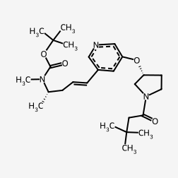 C[C@@H](CC=Cc1cncc(O[C@@H]2CCN(C(=O)CC(C)(C)C)C2)c1)N(C)C(=O)OC(C)(C)C